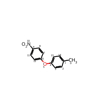 Cc1ccc(Oc2ccc([N+](=O)[O-])cc2)cc1